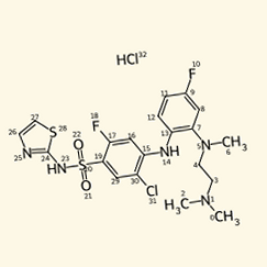 CN(C)CCN(C)c1cc(F)ccc1Nc1cc(F)c(S(=O)(=O)Nc2nccs2)cc1Cl.Cl